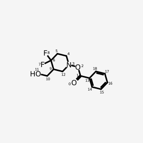 O=C(ON1CCC(F)(F)C(CO)C1)c1ccccc1